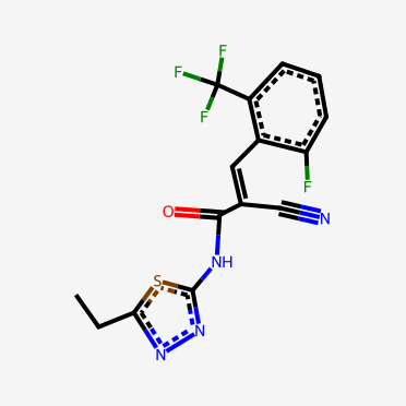 CCc1nnc(NC(=O)C(C#N)=Cc2c(F)cccc2C(F)(F)F)s1